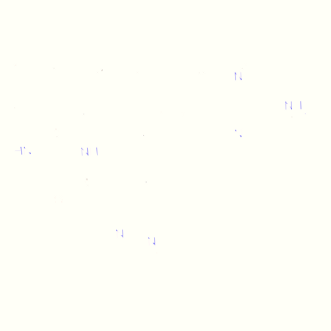 Cn1nccc1C(=O)NC(=N)C1(c2ccc(-c3cnc(N)nc3)cc2)CCC1